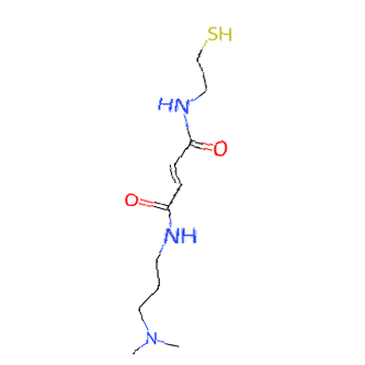 CN(C)CCCNC(=O)C=CC(=O)NCCS